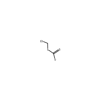 CCCSC([S])=S